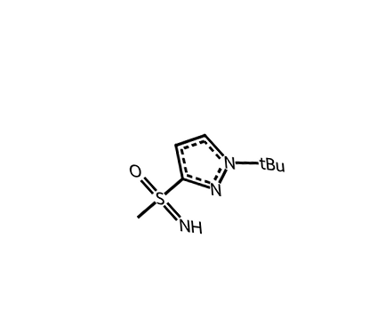 CC(C)(C)n1ccc(S(C)(=N)=O)n1